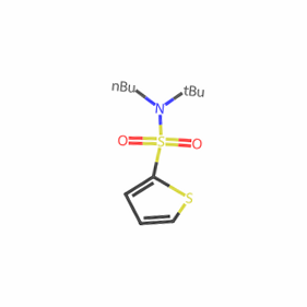 CCCCN(C(C)(C)C)S(=O)(=O)c1cccs1